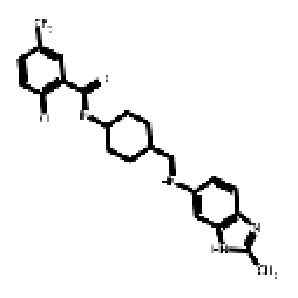 Cc1nc2ccc(NCC3CCC(NC(=O)c4cc(C(F)(F)F)ccc4Cl)CC3)cc2[nH]1